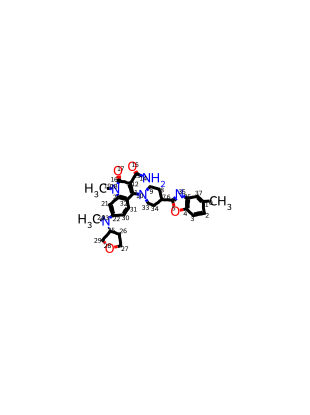 Cc1ccc2oc(C3CCN(c4c(C(N)=O)c(=O)n(C)c5cc(N(C)[C@@H]6CCOC6)ccc45)CC3)nc2c1